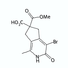 COC(=O)C1(C(=O)O)Cc2c(C)[nH]c(=O)c(Br)c2C1